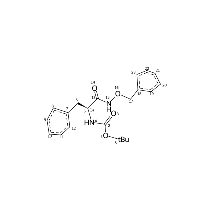 CC(C)(C)OC(=O)N[C@@H](Cc1ccccc1)C(=O)NOCc1ccccc1